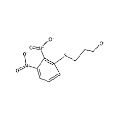 [O]CCCSc1cccc([N+](=O)[O-])c1[N+](=O)[O-]